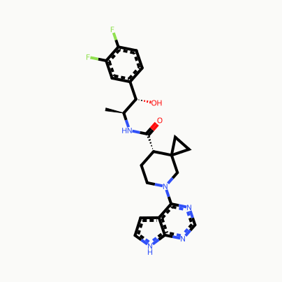 C[C@H](NC(=O)[C@H]1CCN(c2ncnc3[nH]ccc23)CC12CC2)[C@@H](O)c1ccc(F)c(F)c1